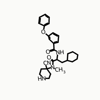 CN(C(=O)C(CC1CCCCC1)NC(=O)c1cccc(Oc2ccccc2)c1)C1(C#N)CCNCC1